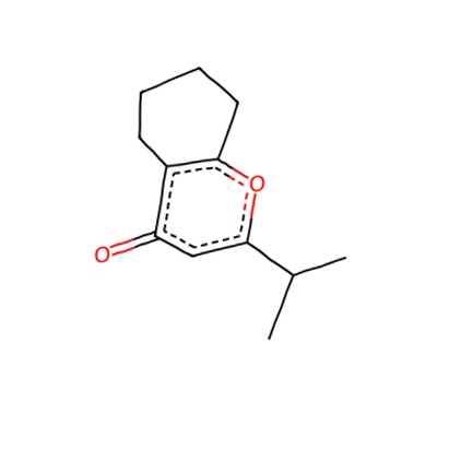 CC(C)c1cc(=O)c2c(o1)CCCC2